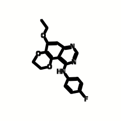 CCOc1cc2ncnc(Nc3ccc(F)cc3)c2c2c1OCCO2